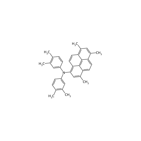 Cc1ccc(N(c2ccc(C)c(C)c2)c2cc(C)c3ccc4c(C)cc(C)c5ccc2c3c45)cc1C